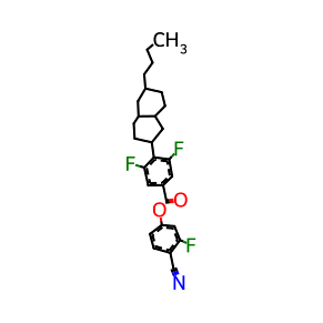 CCCCC1CCC2CC(c3c(F)cc(C(=O)Oc4ccc(C#N)c(F)c4)cc3F)CCC2C1